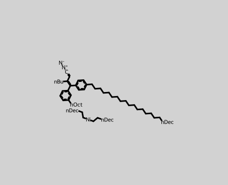 CCCCCCCCCCCCCCCCCCCCCCCCCCCc1ccc(C(=C(C=C=[N+]=[N-])CCCC)c2cccc(CCCCCCCC)c2)cc1.CCCCCCCCCCC[CH2][Ni][CH2]CCCCCCCCCCC